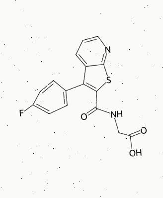 O=C(O)CNC(=O)c1sc2ncccc2c1-c1ccc(F)cc1